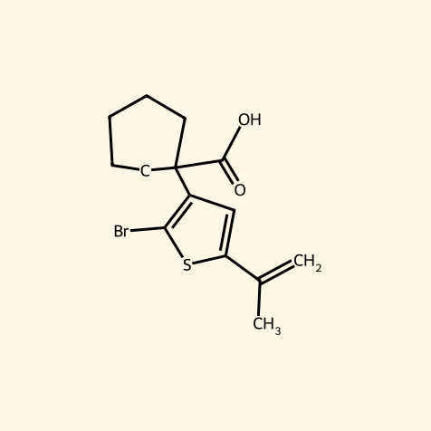 C=C(C)c1cc(C2(C(=O)O)CCCCC2)c(Br)s1